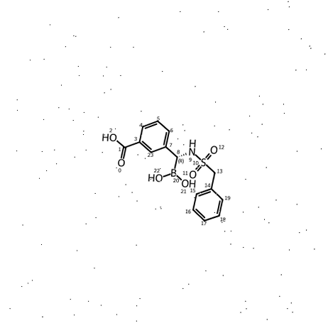 O=C(O)c1cccc([C@H](NS(=O)(=O)Cc2ccccc2)B(O)O)c1